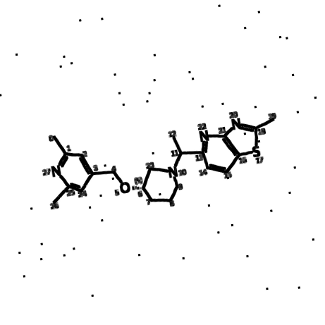 Cc1cc(CO[C@H]2CCCN(C(C)c3ccc4sc(C)nc4n3)C2)cc(C)n1